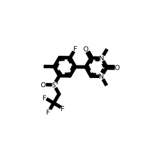 Cc1cc(F)c(-c2cn(C)c(=O)n(C)c2=O)cc1[S+]([O-])CC(F)(F)F